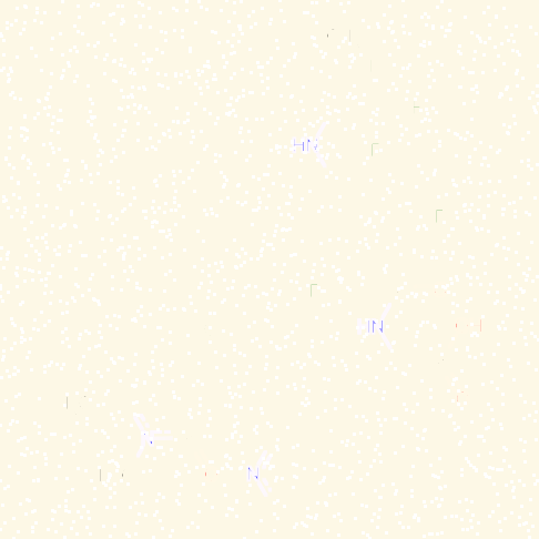 CC[C@@H](Nc1cc(F)c(C(=O)N[C@@H](Cc2ccc(-c3c(Cl)cc(C)n(C)c3=O)c3ncccc23)C(=O)O)c(F)c1)C(F)(F)F